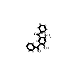 Nc1cc(O)c(C(=O)c2ccccc2)cc1C(=O)c1ccccc1